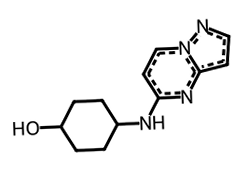 OC1CCC(Nc2ccn3nccc3n2)CC1